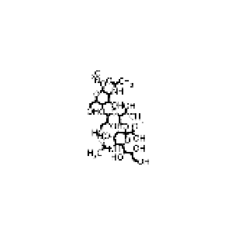 C=NOC1OC(CO)C(OC(OC(CO[C@]2(C(=O)O)C[C@@H](O)C(NC(C)=O)C([C@H](O)[C@H](O)CO)O2)[C@@H](C)O)[C@@H](O)CO)C(O)C1NC(C)=O